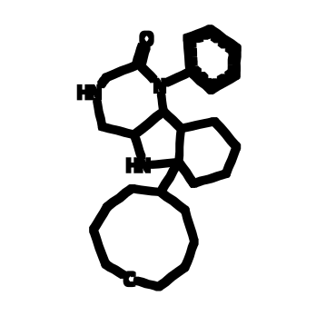 O=C1CNCC2NC3(C4CCCCCCCCC4)CCCCC3C2N1c1ccccc1